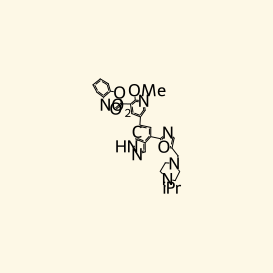 COc1ncc(-c2cc(-c3ncc(CN4CCN(C(C)C)CC4)o3)c3cn[nH]c3c2)cc1C(=O)Oc1ccccc1[N+](=O)[O-]